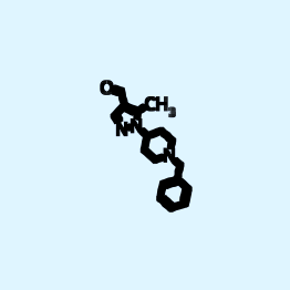 Cc1c(C=O)cnn1C1CCN(Cc2ccccc2)CC1